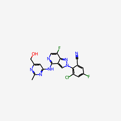 Cc1nc(CO)cc(Nc2ncc(F)c3nn(-c4c(Cl)cc(F)cc4C#N)cc23)n1